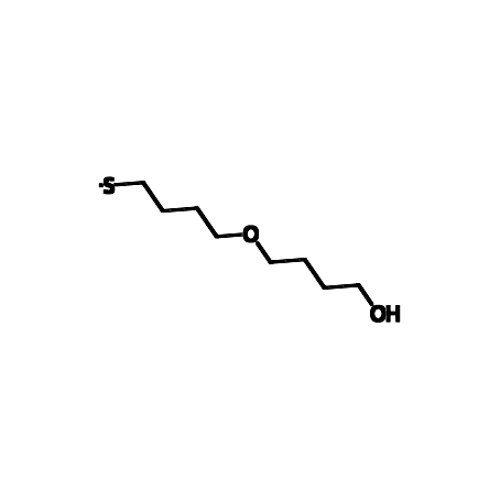 OCCCCOCCCC[S]